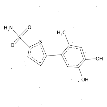 Cc1cc(O)c(O)cc1-c1ccc(S(N)(=O)=O)s1